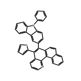 c1ccc(-n2c3ccccc3c3cc(-c4c(-c5cccs5)c5cccnc5c5c4ccc4ccccc45)ccc32)cc1